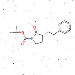 CC(C)(C)OC(=O)N1CC[C@@H](CCc2ccccc2)C1=O